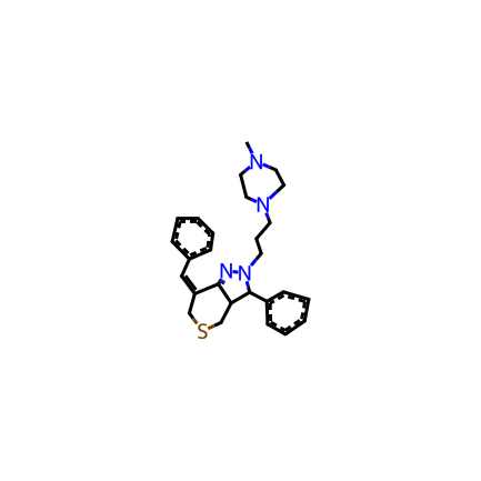 CN1CCN(CCCN2N=C3/C(=C\c4ccccc4)CSCC3C2c2ccccc2)CC1